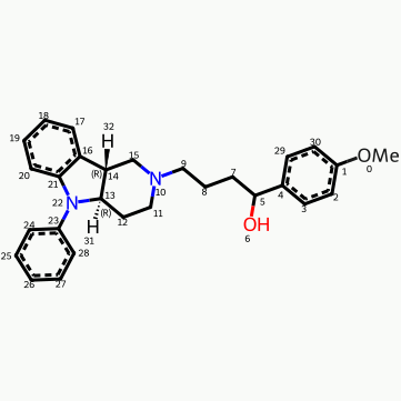 COc1ccc(C(O)CCCN2CC[C@@H]3[C@@H](C2)c2ccccc2N3c2ccccc2)cc1